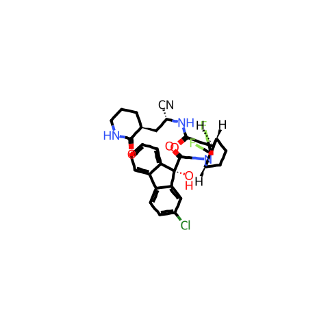 N#C[C@@H](C[C@@H]1CCCNC1=O)NC(=O)[C@H]1[C@@H]2CC[C@@H](CC2(F)F)N1C(=O)[C@]1(O)c2ccccc2-c2ccc(Cl)cc21